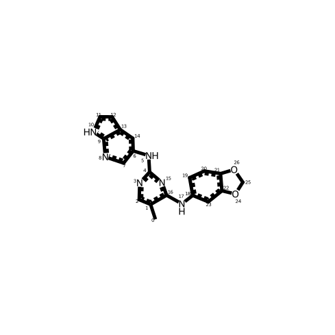 Cc1cnc(Nc2cnc3[nH]ccc3c2)nc1Nc1ccc2c(c1)OCO2